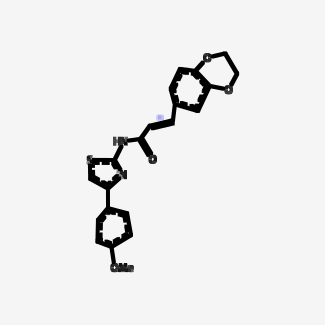 COc1ccc(-c2csc(NC(=O)/C=C/c3ccc4c(c3)OCCO4)n2)cc1